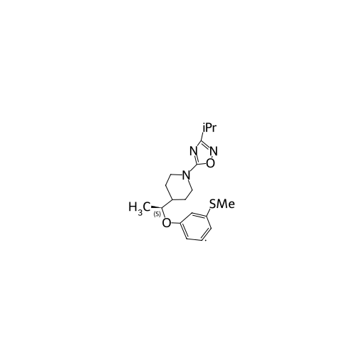 CSc1c[c]cc(O[C@@H](C)C2CCN(c3nc(C(C)C)no3)CC2)c1